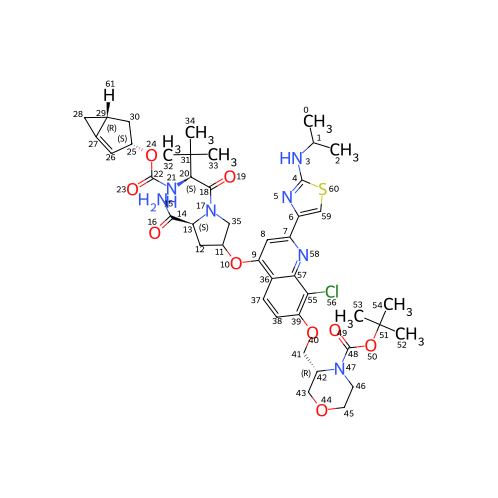 CC(C)Nc1nc(-c2cc(OC3C[C@@H](C(N)=O)N(C(=O)[C@@H](NC(=O)O[C@@H]4C=C5C[C@@H]5C4)C(C)(C)C)C3)c3ccc(OC[C@H]4COCCN4C(=O)OC(C)(C)C)c(Cl)c3n2)cs1